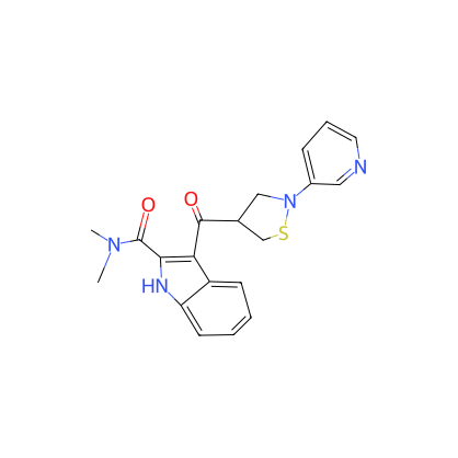 CN(C)C(=O)c1[nH]c2ccccc2c1C(=O)C1CSN(c2cccnc2)C1